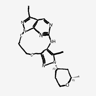 Cc1nn2c3nc(ncc13)Nc1c(nn([C@H]3CCO[C@@H](C)C3)c1C)OCCC2